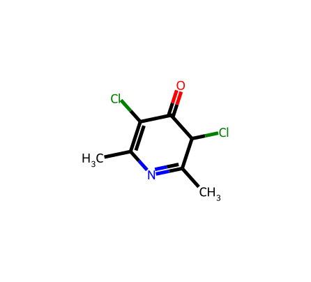 CC1=NC(C)=C(Cl)C(=O)C1Cl